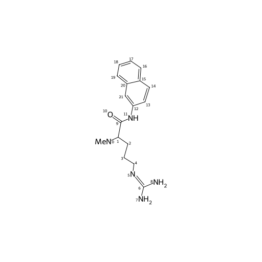 CNC(CCCN=C(N)N)C(=O)Nc1ccc2ccccc2c1